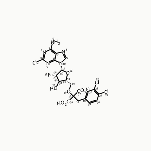 Nc1nc(Cl)nc2c1ncn2[C@@H]1O[C@H](COC(Cc2ccc(Cl)c(Cl)c2)(C(=O)O)C(=O)O)[C@@H](O)[C@@H]1F